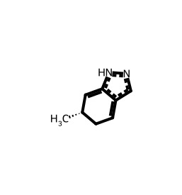 C[C@@H]1C=c2[nH]ncc2=CC1